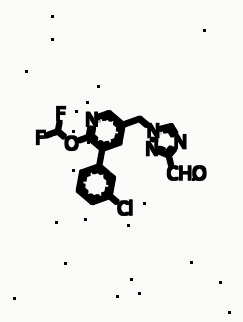 O=Cc1ncn(Cc2cnc(OC(F)F)c(-c3cccc(Cl)c3)c2)n1